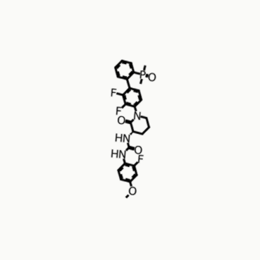 COc1ccc(NC(=O)N[C@@H]2CCCN(c3ccc(-c4ccccc4P(C)(C)=O)c(F)c3F)C2=O)c(F)c1